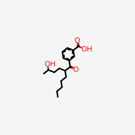 CCCCCC(CCC(C)O)C(=O)c1cccc(C(=O)O)c1